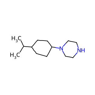 CC(C)C1CCC(N2CCNCC2)CC1